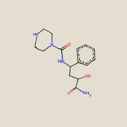 NC(=O)C(O)CC(NC(=O)N1CCNCC1)c1ccccc1